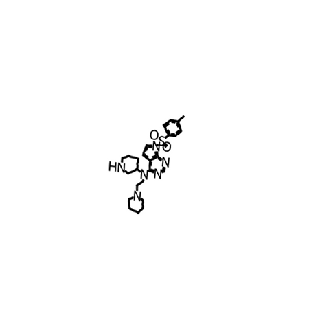 Cc1ccc(S(=O)(=O)n2ccc3c(N(CCN4CCCCC4)C4CCCNC4)ncnc32)cc1